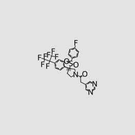 O=C(Cc1cncnc1)N1CC[C@](c2ccc(C(F)(C(F)(F)F)C(F)(F)F)cc2)(S(=O)(=O)c2ccc(F)cc2)C1